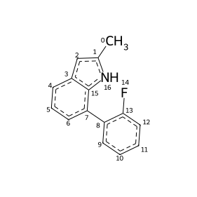 Cc1cc2cccc(-c3ccccc3F)c2[nH]1